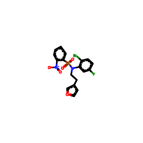 O=[N+]([O-])c1ccccc1S(=O)(=O)N(CCc1ccoc1)c1cc(F)ccc1Br